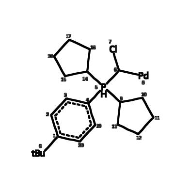 CC(C)(C)c1ccc([PH]([CH](Cl)[Pd])(C2CCCC2)C2CCCC2)cc1